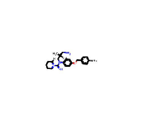 CCC1CCCCN1C(=N)N(CC(C)(C)CN)c1ccc(OCc2ccc(C(C)(C)C)cc2)cc1